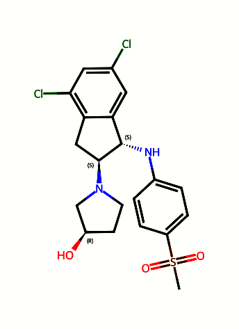 CS(=O)(=O)c1ccc(N[C@H]2c3cc(Cl)cc(Cl)c3C[C@@H]2N2CC[C@@H](O)C2)cc1